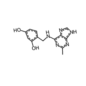 Cc1nc(NCc2ccc(O)cc2O)c2nc[nH]c2n1